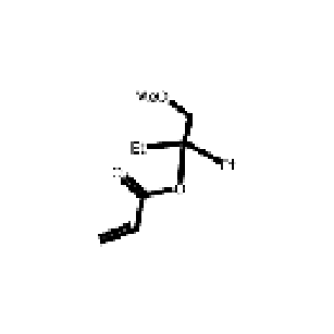 C=CC(=O)OC(CC)(CC)COC